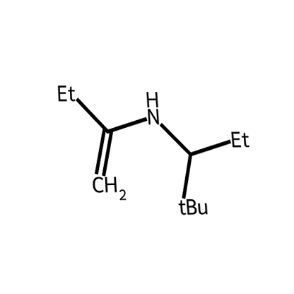 C=C(CC)NC(CC)C(C)(C)C